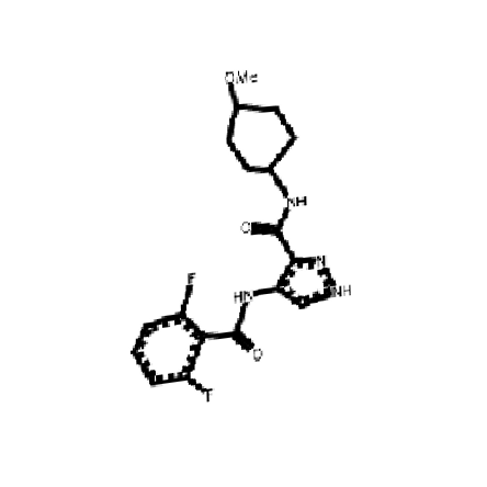 COC1CCC(NC(=O)c2n[nH]cc2NC(=O)c2c(F)cccc2F)CC1